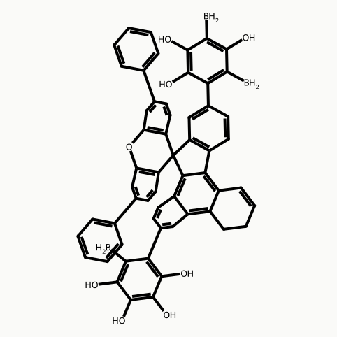 Bc1c(O)c(B)c(-c2ccc3c(c2)C2(c4ccc(-c5ccccc5)cc4Oc4cc(-c5ccccc5)ccc42)c2c-3c3c(c4cc(-c5c(B)c(O)c(O)c(O)c5O)ccc24)CCC=C3)c(O)c1O